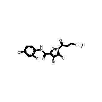 O=C(O)CCC(=O)n1nc(C(=O)Nc2ccc(Cl)cc2Cl)c(Br)c1Cl